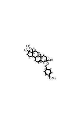 CCOC1(C(C)=O)CCC2C3CC=C4CC(O)(OCc5ccc(OC)cc5)CCC4(C)C3CCC21C